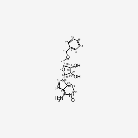 Nc1c2ncn([C@@H]3O[C@H](COCc4ccccc4)[C@@H](O)[C@H]3O)c2nc[n+]1[O-]